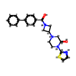 O=C(c1ccc(-c2ccccc2)cc1)N1CC(N2CCN(c3nccs3)C(=O)C2)C1